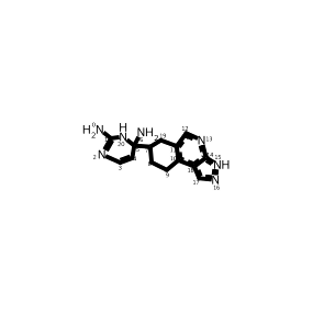 NC1=NC=CC(N)(C2CCc3c(cnc4[nH]ncc34)C2)N1